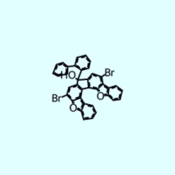 OC1(c2ccccc2-c2ccccc2)c2cc(Br)c3c(oc4ccccc43)c2-c2c1cc(Br)c1oc3ccccc3c21